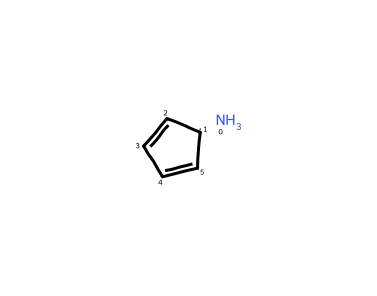 N.[CH]1C=CC=C1